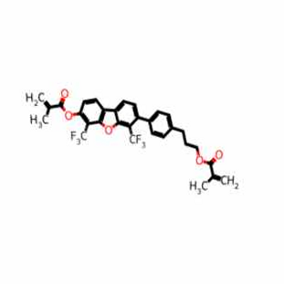 C=C(C)C(=O)OCCCc1ccc(-c2ccc3c(oc4c(C(F)(F)F)c(OC(=O)C(=C)C)ccc43)c2C(F)(F)F)cc1